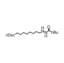 CCCCCCCCCCCCCCCCCCNNC(=O)CCCC